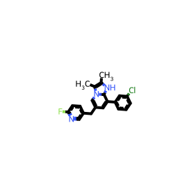 CC1=C(C)N2C=C(Cc3ccc(F)nc3)C=C(c3cccc(Cl)c3)C2N1